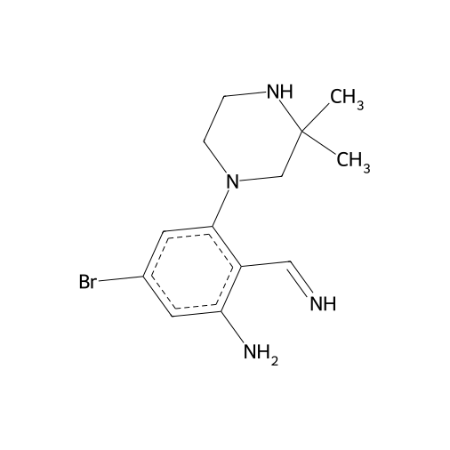 CC1(C)CN(c2cc(Br)cc(N)c2C=N)CCN1